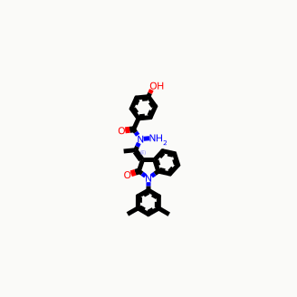 C/C(=C1\C(=O)N(c2cc(C)cc(C)c2)c2ccccc21)N(N)C(=O)c1ccc(O)cc1